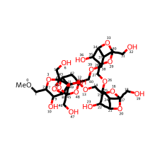 COCC1OC2(CO)OC(C1O)C2COCC1OC2(CO)OC(C1O)C2COCC1OC2(CO)OC(C1O)C2COCC1CC2OC(CO)(O1)C2O